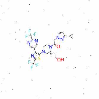 O=C(Cn1ccc(C2CC2)n1)N1CCN(c2sc(C(F)(F)F)nc2-c2cnc(C(F)(F)F)nc2)C[C@H]1CCO